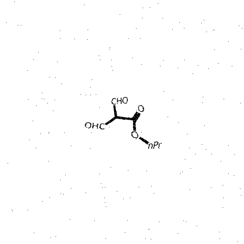 CCCOC(=O)C(C=O)C=O